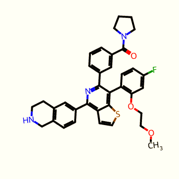 COCCOc1cc(F)ccc1-c1c(-c2cccc(C(=O)N3CCCC3)c2)nc(-c2ccc3c(c2)CCNC3)c2ccsc12